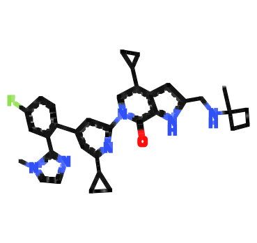 Cn1ccnc1-c1cc(F)ccc1-c1cc(C2CC2)nc(-n2cc(C3CC3)c3cc(CNC4(C)CCC4)[nH]c3c2=O)c1